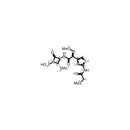 CO/N=C(\C(=O)N[C@@H]1C(=O)N(S(=O)(=O)O)[C@H]1SC)c1csc(NC(=O)CSC)n1